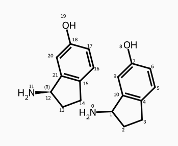 NC1CCc2ccc(O)cc21.N[C@@H]1CCc2ccc(O)cc21